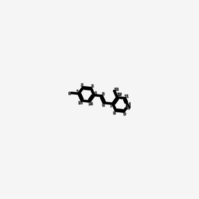 Cc1ccc(C=Cc2ccncc2C)cc1